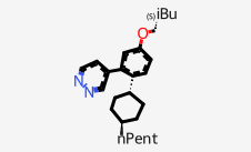 CCCCC[C@H]1CC[C@H](c2ccc(OC[C@@H](C)CC)cc2-c2ccnnc2)CC1